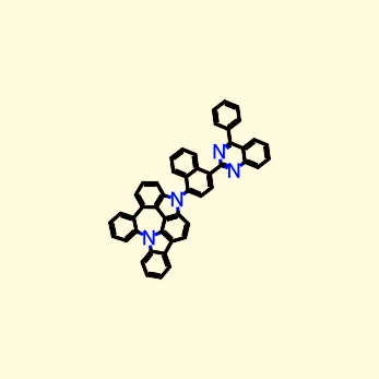 c1ccc(-c2nc(-c3ccc(-n4c5cccc6c7ccccc7n7c8ccccc8c8ccc4c(c65)c87)c4ccccc34)nc3ccccc23)cc1